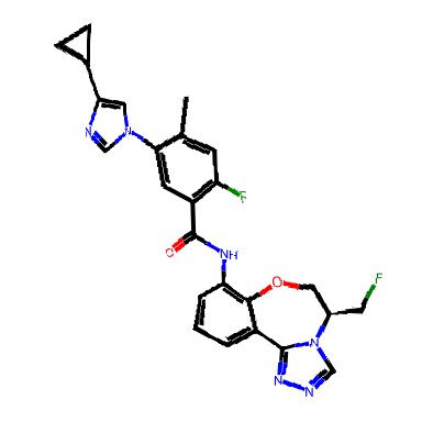 Cc1cc(F)c(C(=O)Nc2cccc3c2OC[C@@H](CF)n2cnnc2-3)cc1-n1cnc(C2CC2)c1